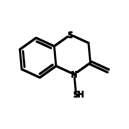 C=C1CSc2ccccc2N1S